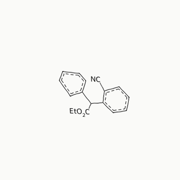 CCOC(=O)C(c1ccccc1)c1ccccc1C#N